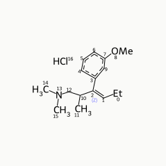 CC/C=C(\c1cccc(OC)c1)C(C)CN(C)C.Cl